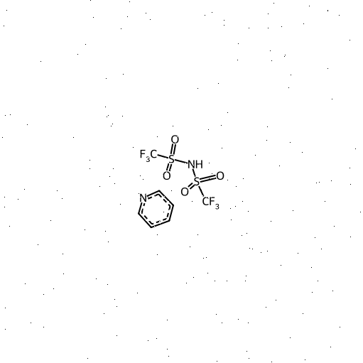 O=S(=O)(NS(=O)(=O)C(F)(F)F)C(F)(F)F.c1ccncc1